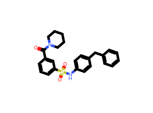 O=C(c1cccc(S(=O)(=O)Nc2ccc(Cc3ccccc3)cc2)c1)N1CCCCC1